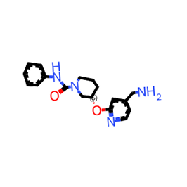 NCc1ccnc(O[C@H]2CCCN(C(=O)Nc3ccccc3)C2)c1